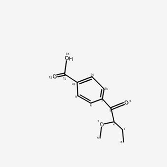 CCC(OC)C(=O)c1ccc(C(=O)O)cc1